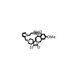 CCN1C(=O)N2Cc3cc(OC)cc(OC)c3[C@@H](C)C=C2C12CCN(Cc1cccn1CCN)CC2